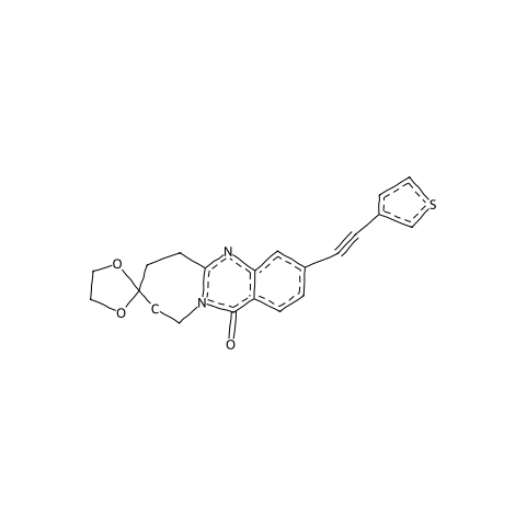 O=c1c2ccc(C#Cc3ccsc3)cc2nc2n1CCC1(CC2)OCCO1